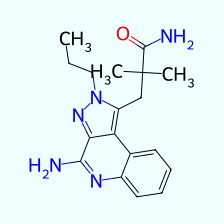 CCCn1nc2c(N)nc3ccccc3c2c1CC(C)(C)C(N)=O